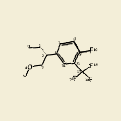 CC[C@@H](COC)c1ccc(F)c(C(F)(F)F)c1